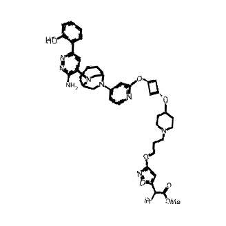 COC(=O)C(c1cc(OCCCN2CCC(O[C@H]3C[C@H](Oc4cc(N5CC6CCCC5CN6c5cc(-c6ccccc6O)nnc5N)ccn4)C3)CC2)no1)C(C)C